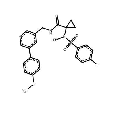 CCN(C1(C(=O)NCc2cccc(-c3ccc(OC(F)(F)F)cc3)c2)CC1)S(=O)(=O)c1ccc(F)cc1